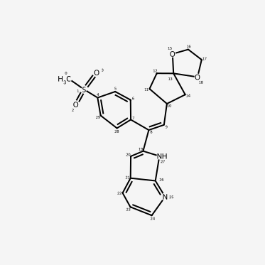 CS(=O)(=O)c1ccc(/C(=C\C2CCC3(C2)OCCO3)c2cc3cccnc3[nH]2)cc1